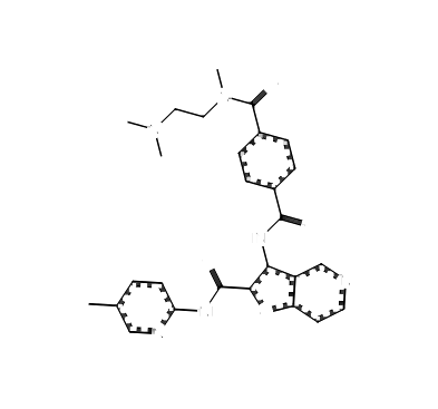 Cc1ccc(NC(=O)c2oc3ccncc3c2NC(=O)c2ccc(C(=O)N(C)CCN(C)C)cc2)nc1